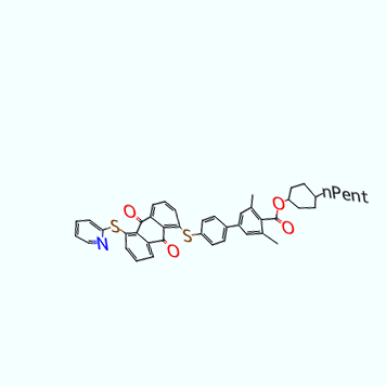 CCCCCC1CCC(OC(=O)c2c(C)cc(-c3ccc(Sc4cccc5c4C(=O)c4cccc(Sc6ccccn6)c4C5=O)cc3)cc2C)CC1